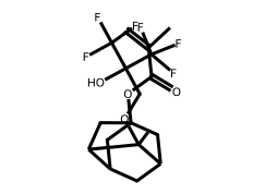 C=C(C)C(=O)OC12CC3CC(C1)C(C)(OCC(O)(C(F)(F)F)C(F)(F)F)C3C2